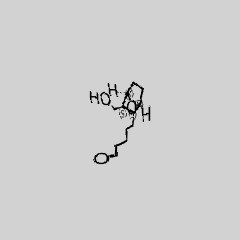 O=CCCCC[C@H]1[C@@H](CO)[C@H]2CC[C@@H]1O2